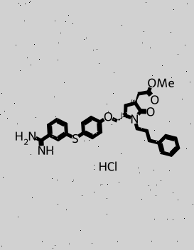 COC(=O)C[C@@H]1C[C@@H](COc2ccc(Sc3cccc(C(=N)N)c3)cc2)N(CCCc2ccccc2)C1=O.Cl